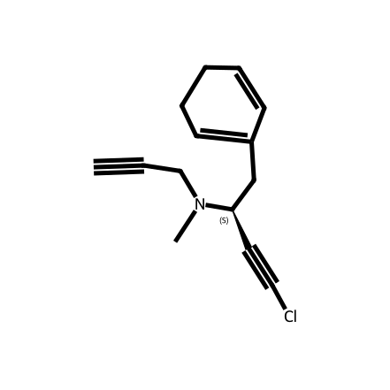 C#CCN(C)[C@H](C#CCl)CC1=CCCC=C1